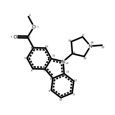 COC(=O)c1ccc2c3ccccc3n(C3CCN(C)C3)c2c1